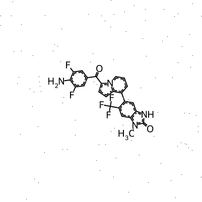 Cn1c(=O)[nH]c2cc(-c3cccn4c(C(=O)c5cc(F)c(N)c(F)c5)ccc34)c(C(F)(F)F)cc21